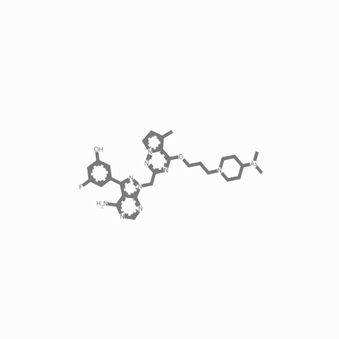 Cc1ccn2nc(Cn3nc(-c4cc(O)cc(F)c4)c4c(N)ncnc43)nc(OCCCN3CCC([As](C)C)CC3)c12